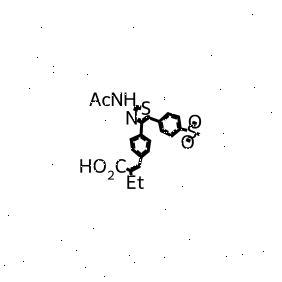 CCC(=Cc1ccc(-c2nc(NC(C)=O)sc2-c2ccc(S(C)(=O)=O)cc2)cc1)C(=O)O